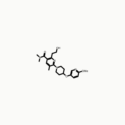 COc1ccc(OC2CCN(c3nc(CCO)c(C(=O)N(C)C)cc3C)CC2)cn1